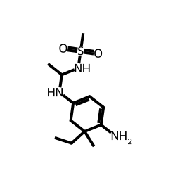 CCC1(C)CC(NC(C)NS(C)(=O)=O)=CC=C1N